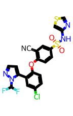 N#Cc1cc(S(=O)(=O)Nc2cscn2)ccc1Oc1ccc(Cl)cc1-c1ccnn1C(F)F